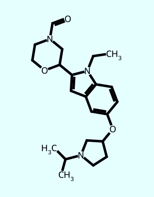 CCn1c(C2CN(C=O)CCO2)cc2cc(OC3CCN(C(C)C)C3)ccc21